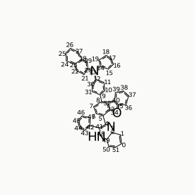 C1=CC2=NC(c3ccc(-c4ccc(N(c5ccccc5)c5ccc6ccccc6c5)cc4)c4c3oc3ccccc34)=C(c3ccccc3)NC2C=C1